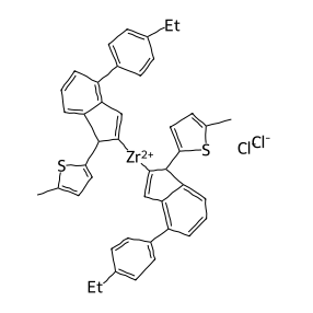 CCc1ccc(-c2cccc3c2C=[C]([Zr+2][C]2=Cc4c(-c5ccc(CC)cc5)cccc4C2c2ccc(C)s2)C3c2ccc(C)s2)cc1.[Cl-].[Cl-]